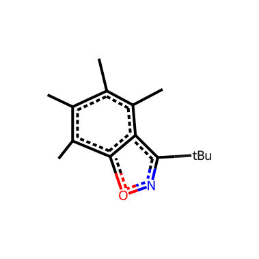 Cc1c(C)c(C)c2c(C(C)(C)C)noc2c1C